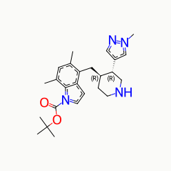 Cc1cc(C)c2c(ccn2C(=O)OC(C)(C)C)c1C[C@@H]1CCNC[C@H]1c1cnn(C)c1